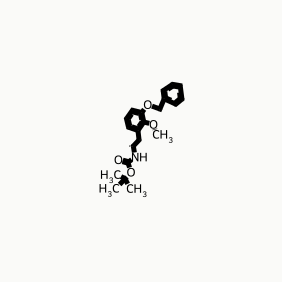 COc1c(C[CH]NC(=O)OC(C)(C)C)cccc1OCc1ccccc1